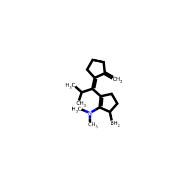 BC1CCC(/C(=C2/CCCC2=C)C(C)C)=C1N(C)C